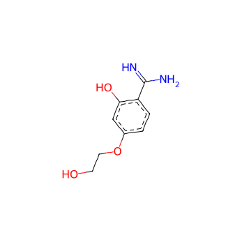 N=C(N)c1ccc(OCCO)cc1O